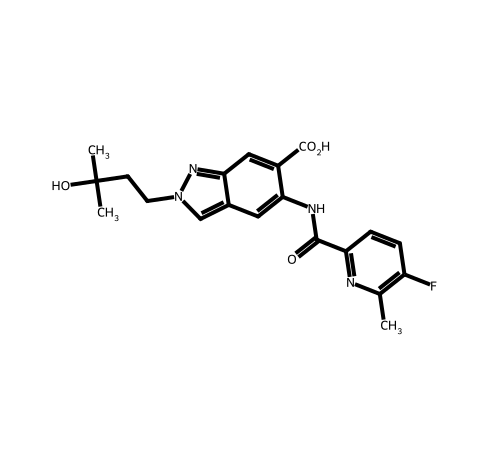 Cc1nc(C(=O)Nc2cc3cn(CCC(C)(C)O)nc3cc2C(=O)O)ccc1F